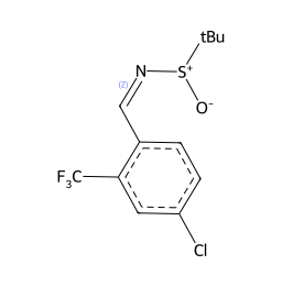 CC(C)(C)[S+]([O-])/N=C\c1ccc(Cl)cc1C(F)(F)F